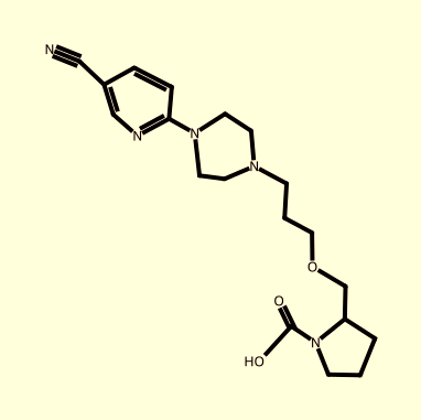 N#Cc1ccc(N2CCN(CCCOCC3CCCN3C(=O)O)CC2)nc1